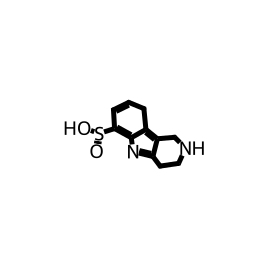 O=S(O)C1=C2N=C3CCNCC3=C2CC=C1